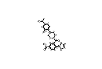 CC(=O)c1ccc(N2CCN(C(=O)c3cc([N+](=O)[O-])ccc3N3CC=CC3)CC2)c(F)c1